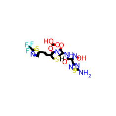 Nc1nc(C(=NO)C(=O)NC2C(=O)N3C(OC(=O)O)=C(C=Cc4cnc(C(F)(F)F)s4)CS[C@@H]23)ns1